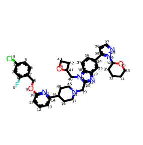 Fc1cc(Cl)ccc1COc1cccc(C2CCN(Cc3nc4cc(-c5ccnn5C5CCCCO5)ccc4n3CC3CCO3)CC2)n1